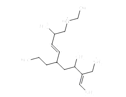 C/C=C(\CC)C(C)CC(/C=C/C(C)CNCC)CCC